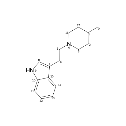 CC1CCN(CCc2c[nH]c3ccccc23)CC1